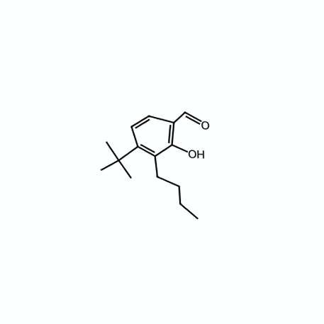 CCCCc1c(C(C)(C)C)ccc(C=O)c1O